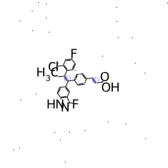 CC/C(=C(/c1ccc(/C=C/C(=O)O)cc1)c1ccc2[nH]nc(F)c2c1)c1ccc(F)cc1Cl